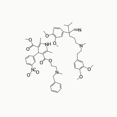 COC(=O)C1=C(C)NC(C)=C(C(=O)OCCN(C)Cc2ccccc2)C1c1cccc([N+](=O)[O-])c1.COc1ccc(CCN(C)CCCC(C#N)(c2ccc(OC)c(OC)c2)C(C)C)cc1OC